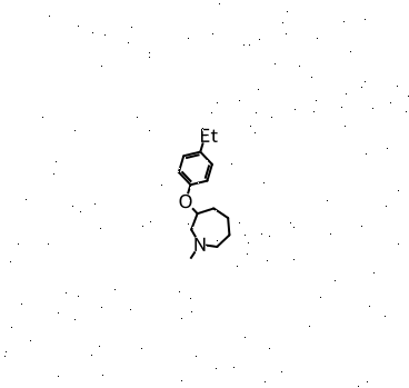 CCc1ccc(OC2CCCCN(C)C2)cc1